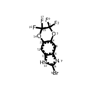 FC1(F)Oc2cc3nc(Br)[nH]c3cc2OC1(F)F